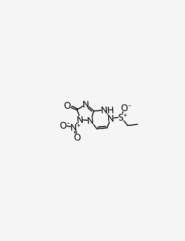 CC[S+]([O-])N1C=Cn2c(nc(=O)n2[N+](=O)[O-])N1